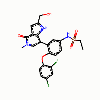 CCS(=O)(=O)Nc1ccc(Oc2ccc(F)cc2F)c(-c2cn(C)c(=O)c3cc(CO)[nH]c23)c1